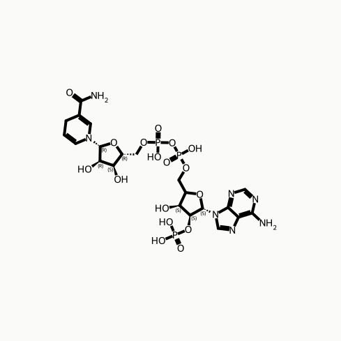 NC(=O)C1=CN([C@@H]2O[C@H](COP(=O)(O)OP(=O)(O)OCC3O[C@H](n4cnc5c(N)ncnc54)[C@@H](OP(=O)(O)O)[C@H]3O)[C@@H](O)[C@H]2O)C=CC1